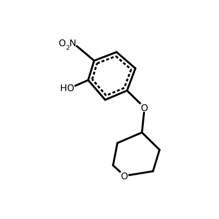 O=[N+]([O-])c1ccc(OC2CCOCC2)cc1O